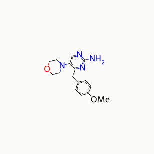 COc1ccc(Cc2nc(N)ncc2N2CCOCC2)cc1